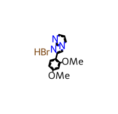 Br.COc1ccc(-c2cn3cccnc3n2)c(OC)c1